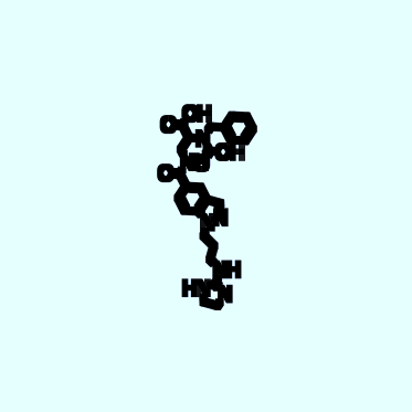 O=C(NCC(C(=O)O)N(Cc1ccccc1)C(=O)O)c1ccc2c(cnn2CCCNC2=NCCN2)c1